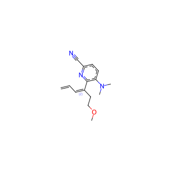 C=C/C=C(/CCOC)c1nc(C#N)ccc1N(C)C